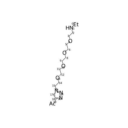 CCNCCOCCOCCOCCOCCn1cc(C(C)=O)nn1